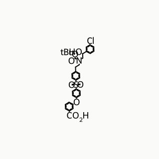 CC(C)(C)OC(=O)N(CCc1ccc(S(=O)(=O)c2ccc(Oc3cccc(C(=O)O)c3)cc2)cc1)C[C@@H](O)c1cccc(Cl)c1